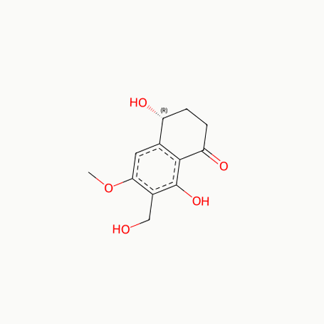 COc1cc2c(c(O)c1CO)C(=O)CC[C@H]2O